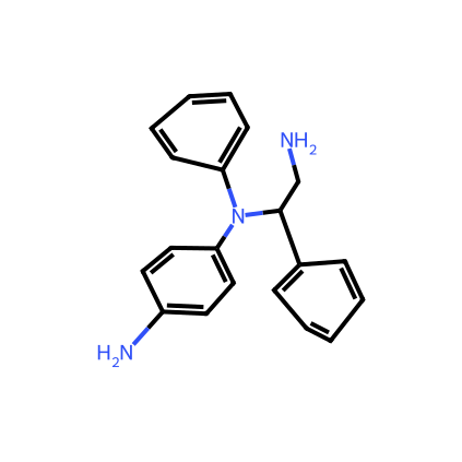 NCC(c1ccccc1)N(c1ccccc1)c1ccc(N)cc1